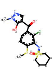 CSc1ccc(C(=O)c2cnn(C)c2O)c(Cl)c1N=S1(=O)CCCCC1